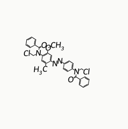 COc1cc(N=Nc2ccc(N(CCl)C(=O)c3ccccc3)cc2)c(C)cc1N(CCl)C(=O)c1ccccc1